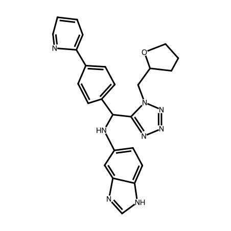 c1ccc(-c2ccc(C(Nc3ccc4[nH]cnc4c3)c3nnnn3CC3CCCO3)cc2)nc1